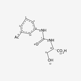 CC(=O)c1cccc(NC(=O)N[C@@H](CO)C(=O)O)c1